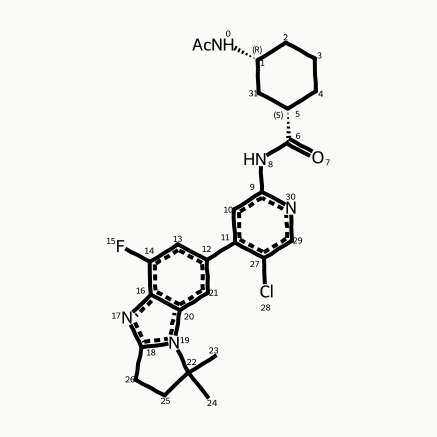 CC(=O)N[C@@H]1CCC[C@H](C(=O)Nc2cc(-c3cc(F)c4nc5n(c4c3)C(C)(C)CC5)c(Cl)cn2)C1